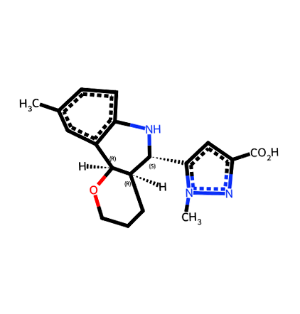 Cc1ccc2c(c1)[C@@H]1OCCC[C@@H]1[C@@H](c1cc(C(=O)O)nn1C)N2